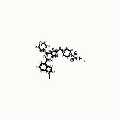 CS(=O)(=O)N1CCN(Cc2nc3nc(-c4cccc5[nH]ccc45)nc(N4CCOCC4)c3s2)CC1